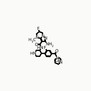 CN1CC(F)Cn2nc(N)c(C(=O)NC3CNCCC3c3ccc(C(=O)N4CCN5CCC4CC5)cc3F)c21